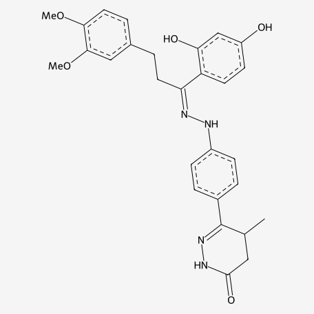 COc1ccc(CC/C(=N/Nc2ccc(C3=NNC(=O)CC3C)cc2)c2ccc(O)cc2O)cc1OC